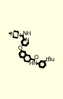 CN1CCN(C(=N)c2cc(Oc3ccc4c(c3)CC(C(=O)Nc3cccc(C(C)(C)C)c3)CC4)ccn2)CC1